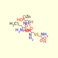 CSCC[C@H](N)C(=O)O.N[C@@H](CS)C(=O)O.N[C@@H](CSSC[C@H](N)C(=O)O)C(=O)O.[Zn]